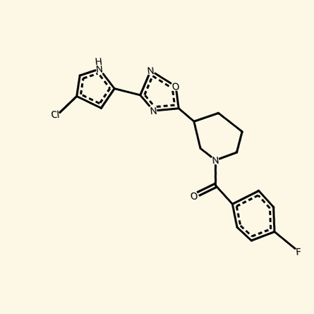 O=C(c1ccc(F)cc1)N1CCCC(c2nc(-c3cc(Cl)c[nH]3)no2)C1